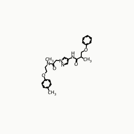 Cc1ccc(OCCN(C)C(=O)Cn2cc(NC(=O)C(C)COc3ccccc3)cn2)cc1